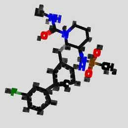 CCNC(=O)N1CCC[C@@H](NS(C)(=O)=O)[C@@H]1Cc1cccc(-c2cccc(F)c2)c1